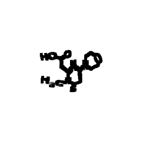 Cn1c(CC(=O)O)nc(N2CCOCC2)cc1=S